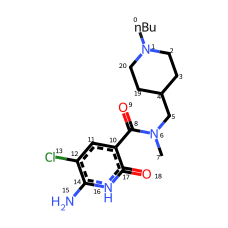 CCCCN1CCC(CN(C)C(=O)c2cc(Cl)c(N)[nH]c2=O)CC1